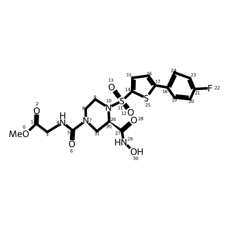 COC(=O)CNC(=O)N1CCN(S(=O)(=O)c2ccc(-c3ccc(F)cc3)s2)[C@@H](C(=O)NO)C1